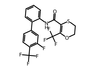 O=C(Nc1ccccc1-c1ccc(C(F)(F)F)c(F)c1)C1=C(C(F)(F)F)OCCS1